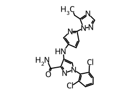 CCc1ncnn1-c1ccc(Nc2cn(-c3c(Cl)cccc3Cl)nc2C(N)=O)cn1